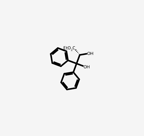 CCOC(=O)[C@H](O)C(O)(c1ccccc1)c1ccccc1